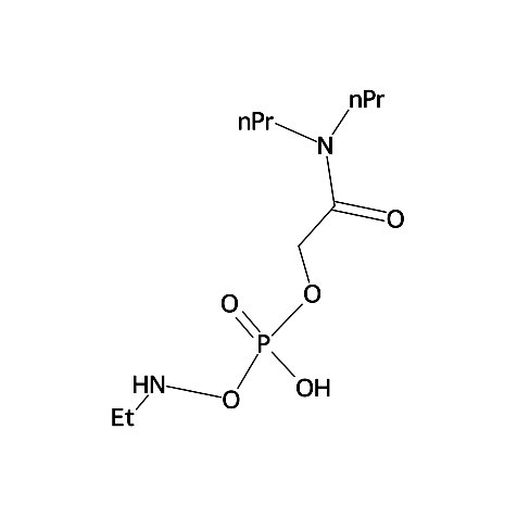 CCCN(CCC)C(=O)COP(=O)(O)ONCC